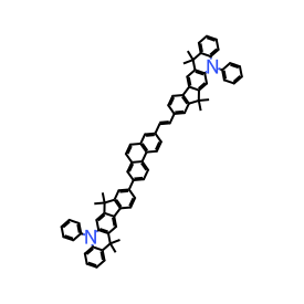 CC1(C)c2cc(/C=C/c3ccc4c(ccc5cc(-c6ccc7c(c6)C(C)(C)c6cc8c(cc6-7)C(C)(C)c6ccccc6N8c6ccccc6)ccc54)c3)ccc2-c2cc3c(cc21)N(c1ccccc1)c1ccccc1C3(C)C